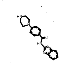 O=C(Nc1nc2ccccc2s1)c1ccc(N2CCNCC2)cc1